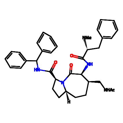 CN[C@H](Cc1ccccc1)C(=O)N[C@@H]1C(=O)N2[C@@H](CC[C@@H]1CNC(C)=O)CC[C@H]2C(=O)NC(c1ccccc1)c1ccccc1